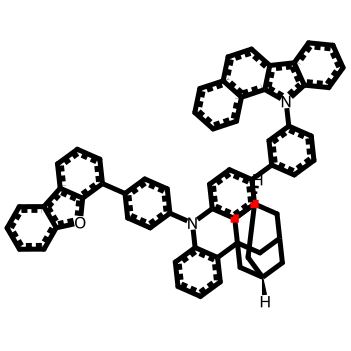 c1cc(-c2ccc(N(c3ccc(-c4cccc5c4oc4ccccc45)cc3)c3ccccc3C34CC5C[C@H](C3)C[C@H](C5)C4)cc2)cc(-n2c3ccccc3c3ccc4ccccc4c32)c1